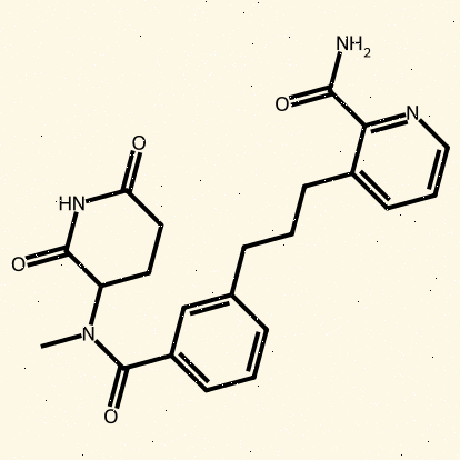 CN(C(=O)c1cccc(CCCc2cccnc2C(N)=O)c1)C1CCC(=O)NC1=O